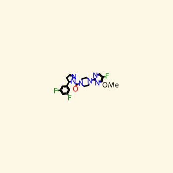 COc1nc(N2CCN(C(=O)N3N=CCC3c3cc(F)cc(F)c3)CC2)ncc1F